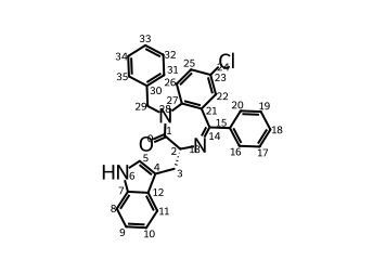 O=C1[C@@H](Cc2c[nH]c3ccccc23)N=C(c2ccccc2)c2cc(Cl)ccc2N1Cc1ccccc1